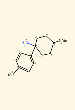 CNC1CCC(N)(c2ccc(C(C)(C)C)cc2)CC1